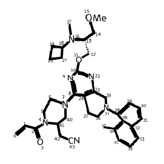 C=CC(=O)N1CCN(c2nc(OC[C@@H](COC)N(C)C3CCC3)nc3c2CCN(c2cccc4cccc(C)c24)C3)CC1CC#N